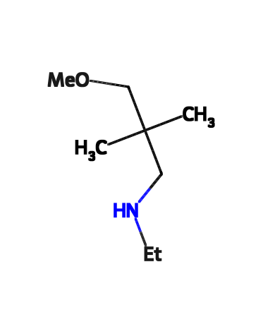 CCNCC(C)(C)COC